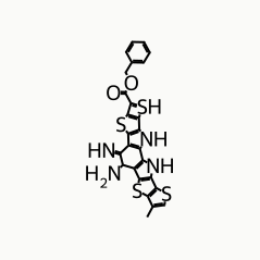 Cc1csc2c1sc1c3c([nH]c12)-c1[nH]c2c4c(sc2c1C(=N)C3N)C(C(=O)OCc1ccccc1)=[SH]4